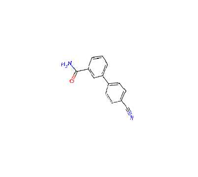 N#Cc1ccc(-c2cccc(C(N)=O)c2)cc1